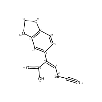 N#C[Se]/C=C(\C(=O)O)c1ccc2c(c1)OCO2